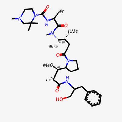 CC[C@H](C)[C@@H]([C@@H](CC(=O)N1CCCC1[C@H](OC)[C@@H](C)C(=O)NC(CO)Cc1ccccc1)OC)N(C)C(=O)C(NC(=O)N1CCN(C)CC1(C)C)C(C)C